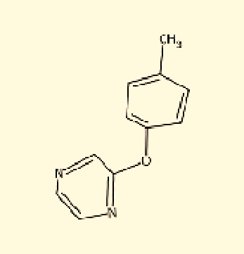 Cc1ccc(Oc2cnccn2)cc1